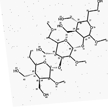 CCC1O[C@H](O[C@@H]2C(OC)[C@@H](OC3C(OC)OC(CCO)[C@@H](CO)[C@@H]3CO)OC(COC)[C@H]2CO)C(OC)[C@@H](CO)[C@@H]1CO